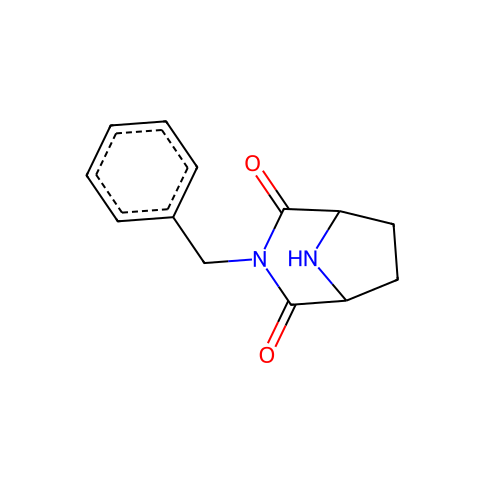 O=C1C2CCC(N2)C(=O)N1Cc1ccccc1